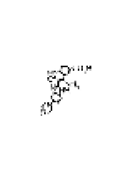 CN1CCN(c2ccc3[nH]c(-c4c(N)c5cc(C(=O)O)ccc5[nH]c4=O)nc3c2)CC1